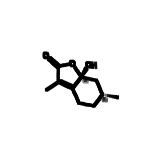 CC1=C2CC[C@@H](C)C[C@@]2(O)OC1=O